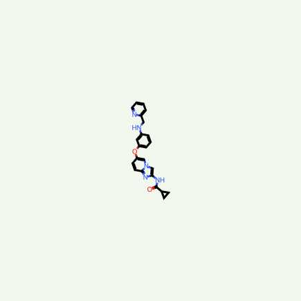 O=C(Nc1cn2cc(Oc3cccc(NCc4ccccn4)c3)ccc2n1)C1CC1